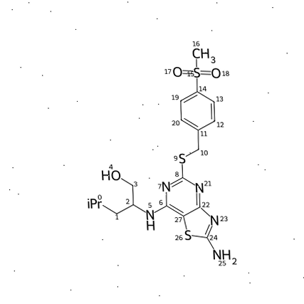 CC(C)CC(CO)Nc1nc(SCc2ccc(S(C)(=O)=O)cc2)nc2nc(N)sc12